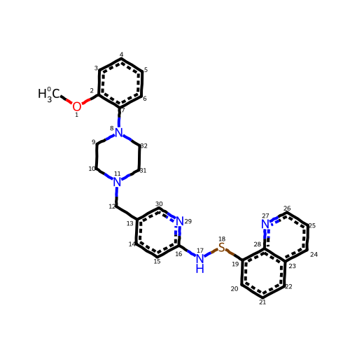 COc1ccccc1N1CCN(Cc2ccc(NSc3cccc4cccnc34)nc2)CC1